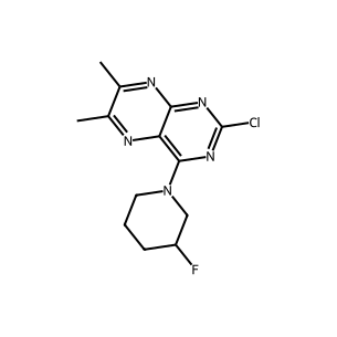 Cc1nc2nc(Cl)nc(N3CCCC(F)C3)c2nc1C